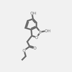 CCOC(=O)CC1OB(O)c2cc(O)ccc21